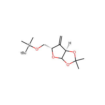 C=C1[C@H]2OC(C)(C)OC2O[C@@H]1CO[Si](C)(C)C(C)(C)C